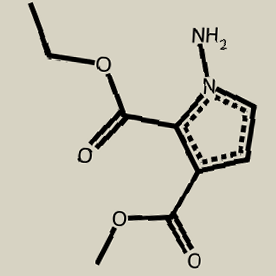 CCOC(=O)c1c(C(=O)OC)ccn1N